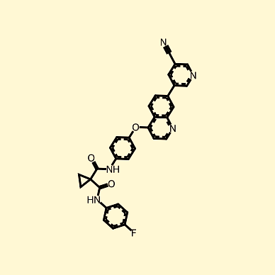 N#Cc1cncc(-c2ccc3c(Oc4ccc(NC(=O)C5(C(=O)Nc6ccc(F)cc6)CC5)cc4)ccnc3c2)c1